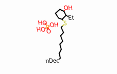 CCCCCCCCCCCCCCCCCCSC1CCCC(O)C1CC.O=P(O)(O)O